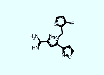 N=C(N)c1cc(-c2ccon2)n(Cc2sccc2F)n1